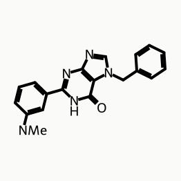 CNc1cccc(-c2nc3ncn(Cc4ccccc4)c3c(=O)[nH]2)c1